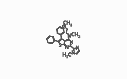 COCCN(C)c1nc(-c2nccn2C)nc2sc(-c3ccccc3)c(-c3ccccc3)c12